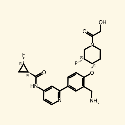 NCc1cc(-c2cc(NC(=O)[C@H]3C[C@@H]3F)ccn2)ccc1O[C@H]1CCN(C(=O)CO)C[C@H]1F